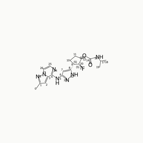 Cc1cc2c(Nc3cc([C@@H]4CC[C@H](OC(=O)NC(C)C)[C@H]4F)[nH]n3)nccn2n1